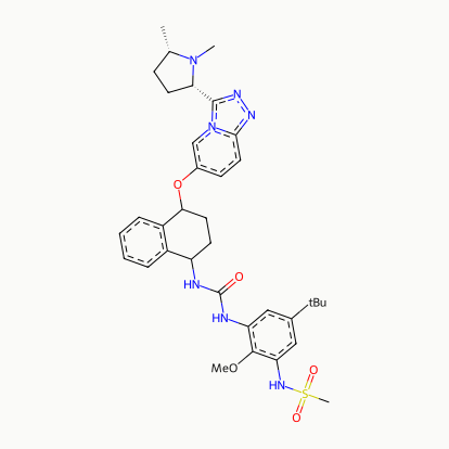 COc1c(NC(=O)NC2CCC(Oc3ccc4nnc([C@@H]5CC[C@H](C)N5C)n4c3)c3ccccc32)cc(C(C)(C)C)cc1NS(C)(=O)=O